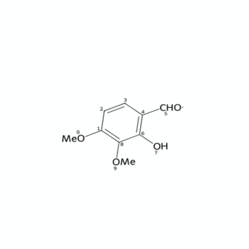 COc1ccc([C]=O)c(O)c1OC